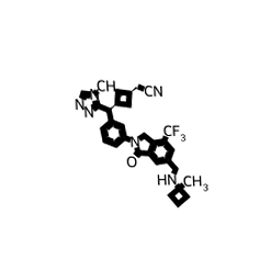 Cn1cnnc1C(c1cccc(N2Cc3c(cc(CNC4(C)CCC4)cc3C(F)(F)F)C2=O)c1)[C@H]1C[C@@H](CC#N)C1